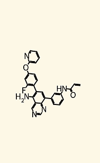 C=CC(=O)Nc1cccc(-c2cc(-c3ccc(Oc4ccccn4)cc3F)c(N)c3cncnc23)c1